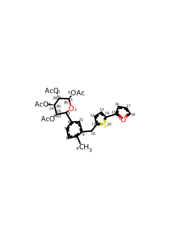 CC(=O)O[C@H]1OC(c2ccc(C)c(Cc3ccc(-c4ccco4)s3)c2)[C@H](OC(C)=O)[C@@H](OC(C)=O)[C@@H]1OC(C)=O